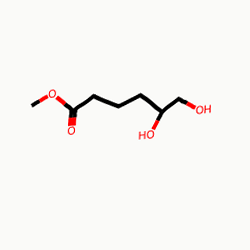 COC(=O)CCCC(O)CO